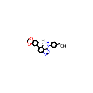 CC1C(c2ccc3c(c2)OCCO3)=CC=C2N=CN=C(Nc3ccc(CC#N)cc3)C21